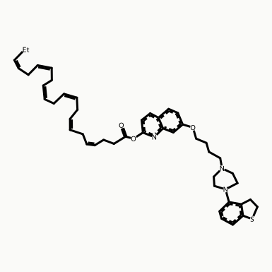 CC/C=C\C/C=C\C/C=C\C/C=C\C/C=C\C/C=C\CCC(=O)Oc1ccc2ccc(OCCCCN3CCN(c4cccc5c4CCS5)CC3)cc2n1